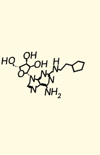 Nc1nc(NCCC2CCCC2)nc2c1ncn2[C@@H]1O[C@H](CO)[C@@H](O)[C@H]1O